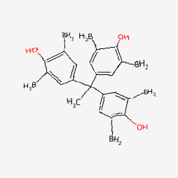 Bc1cc(C(C)(c2cc(B)c(O)c(B)c2)c2cc(B)c(O)c(B)c2)cc(B)c1O